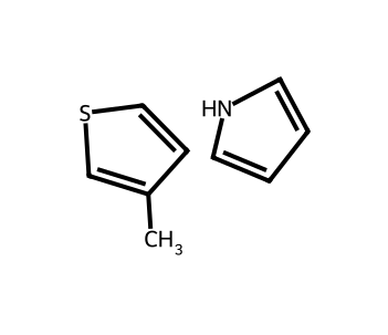 Cc1ccsc1.c1cc[nH]c1